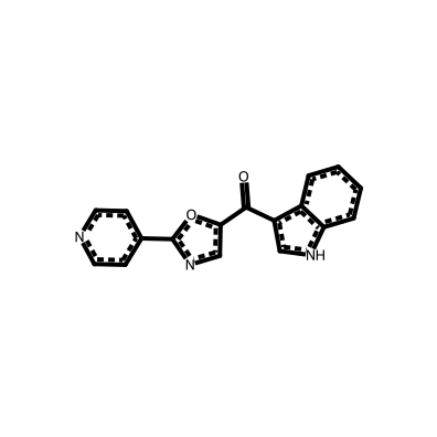 O=C(c1cnc(-c2ccncc2)o1)c1c[nH]c2ccccc12